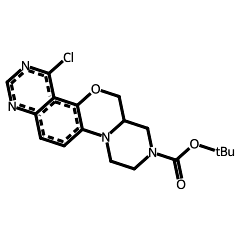 CC(C)(C)OC(=O)N1CCN2c3ccc4ncnc(Cl)c4c3OCC2C1